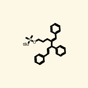 CC(C)(C)[Si](C)(C)OCCC/C(=C\c1ccccc1)C(/C=C/c1ccccc1)c1ccccc1